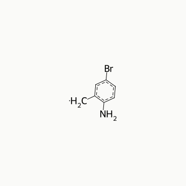 [CH2]c1cc(Br)ccc1N